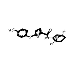 Cc1ccc(Sc2ccc(C(=O)N[C@@H]3C[C@H]4CC[C@@H]3N4)s2)cc1